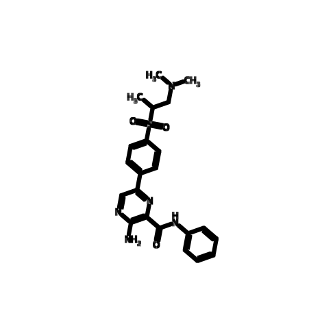 CC(CN(C)C)S(=O)(=O)c1ccc(-c2cnc(N)c(C(=O)Nc3ccccc3)n2)cc1